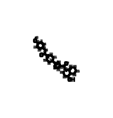 COc1ccc(CC(=O)N2CCC(c3nc(C(=O)N4CCC(O)C5CCCC=C54)cs3)CC2)cc1